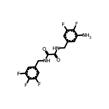 Nc1cc(CNC(=O)C(=O)NCc2cc(F)c(F)c(F)c2)cc(F)c1F